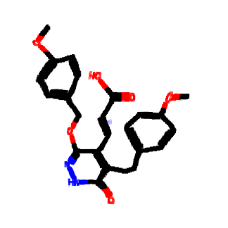 COc1ccc(COc2n[nH]c(=O)c(Cc3ccc(OC)cc3)c2/C=C/C(=O)O)cc1